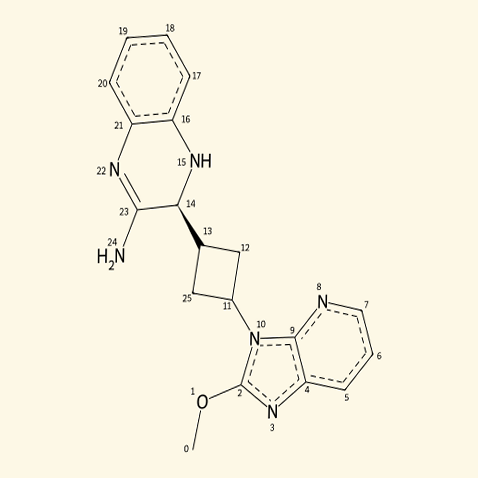 COc1nc2cccnc2n1C1CC([C@@H]2Nc3ccccc3N=C2N)C1